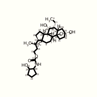 CC[C@H]1[C@@H](O)[C@@H]2[C@H](CC[C@]3(C)[C@@H]([C@H](C)CCOC(=O)NC4CCCC4O)CC[C@@H]23)[C@@]2(C)CC[C@@H](O)C[C@@H]12